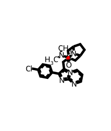 CN(C)C(=O)N1C2CCC1CN(Cc1c(-c3ccc(Cl)cc3)nc3ncccn13)C2